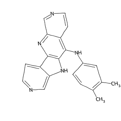 Cc1ccc(Nc2c3ccncc3nc3c2[nH]c2cnccc23)cc1C